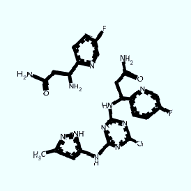 Cc1cc(Nc2nc(Cl)nc(NC(CC(N)=O)c3ccc(F)cn3)n2)[nH]n1.NC(=O)CC(N)c1ccc(F)cn1